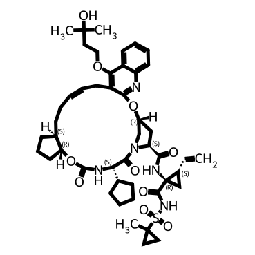 C=C[C@@H]1C[C@]1(NC(=O)[C@@H]1C[C@@H]2CN1C(=O)[C@H](C1CCCC1)NC(=O)O[C@@H]1CCC[C@H]1CCC=CCc1c(nc3ccccc3c1OCCC(C)(C)O)O2)C(=O)NS(=O)(=O)C1(C)CC1